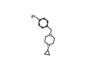 CC(C)c1ccc(CN2CCN(C3CC3)CC2)cc1